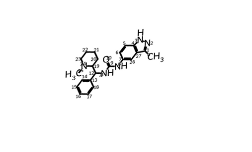 Cc1n[nH]c2ccc(NC(=O)NC(c3ccccc3)C3CCCCN3C)cc12